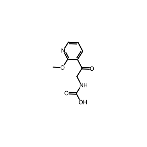 COc1ncccc1C(=O)CNC(=O)O